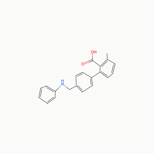 Cc1cccc(-c2ccc(CNc3ccccc3)cc2)c1C(=O)O